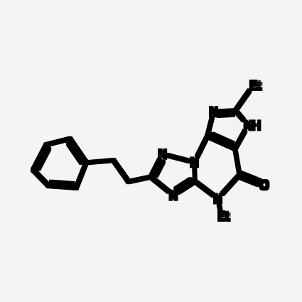 CCc1nc2c([nH]1)c(=O)n(CC)c1nc(CCc3ccccc3)nn21